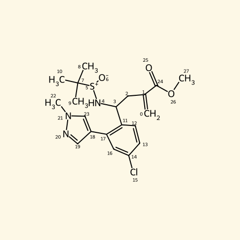 C=C(CC(N[S+]([O-])C(C)(C)C)c1ccc(Cl)cc1-c1cnn(C)c1)C(=O)OC